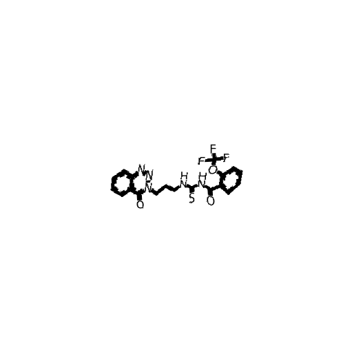 O=C(NC(=S)NCCCn1nnc2ccccc2c1=O)c1ccccc1OC(F)(F)F